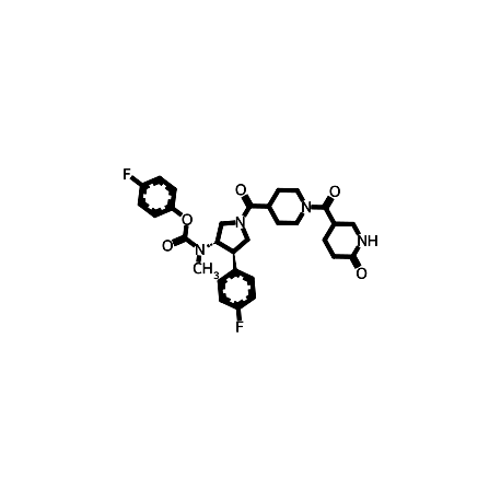 CN(C(=O)Oc1ccc(F)cc1)[C@@H]1CN(C(=O)C2CCN(C(=O)C3CCC(=O)NC3)CC2)C[C@H]1c1ccc(F)cc1